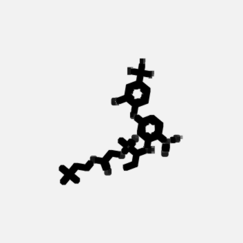 CCC(Nc1cc(Oc2ccc(C(F)(F)F)cc2Cl)ccc1[N+](=O)[O-])P(C)(=O)OCC(=O)OCCC(C)(C)C